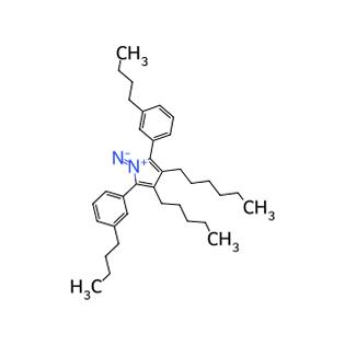 CCCCCCC1=C(c2cccc(CCCC)c2)[N+](=[N-])C(c2cccc(CCCC)c2)=C1CCCCC